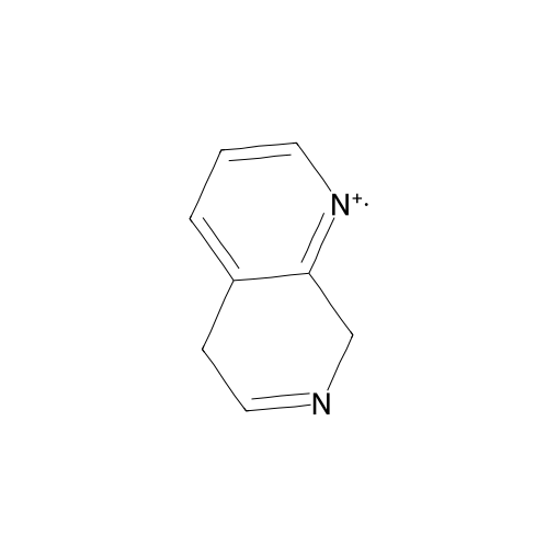 C1=C[N+]=C2CN=CCC2=C1